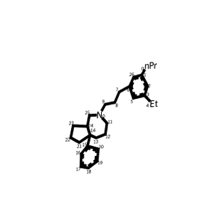 CCCc1cc(CC)cc(CCCN2CCCC3(c4ccccc4)CCCC3C2)c1